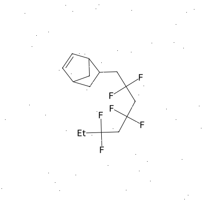 CCC(F)(F)CC(F)(F)CC(F)(F)CC1CC2C=CC1C2